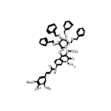 CCCCCCCCOc1c(O[C@H]2O[C@H](COCc3ccccc3)[C@@H](OCc3ccccc3)[C@H](OCc3ccccc3)[C@@H]2OCc2ccccc2)c2ccc(NC(=O)C=Cc3cc(OC)c(O)c(OC)c3)cc2n(C)c1=O